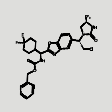 O=C(N[C@H](c1nc2cc([C@@H](CCl)N3C[C@@H](C(F)(F)F)NC3=O)ccc2o1)C1CCC(F)(F)CC1)OCc1ccccc1